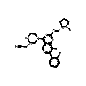 CN1CCC[C@H]1COc1nc(N2CCN[C@@H](CC#N)C2)c2cnc(-c3ccccc3F)c(F)c2n1